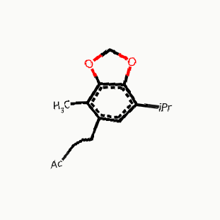 CC(=O)CCc1cc(C(C)C)c2c(c1C)OCO2